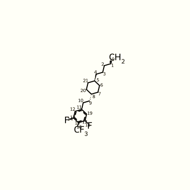 C=CCCC[C@H]1CC[C@H](CCc2cc(F)c(C(F)(F)F)c(F)c2)CC1